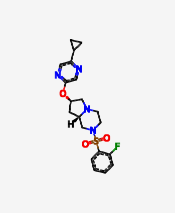 O=S(=O)(c1ccccc1F)N1CCN2C[C@H](Oc3cnc(C4CC4)cn3)C[C@H]2C1